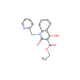 CCOC(=O)c1c(O)c2ccccc2n(Cc2ccccn2)c1=O